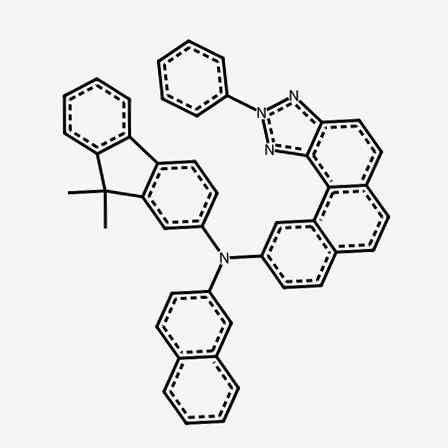 CC1(C)c2ccccc2-c2ccc(N(c3ccc4ccccc4c3)c3ccc4ccc5ccc6nn(-c7ccccc7)nc6c5c4c3)cc21